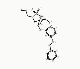 CCCN1CC2(NS1(=O)=O)C1CCC2Cc2cc(OCc3ccccc3)ccc2C1